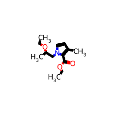 CCOC(=O)c1c(C)ccn1CC(C)OCC